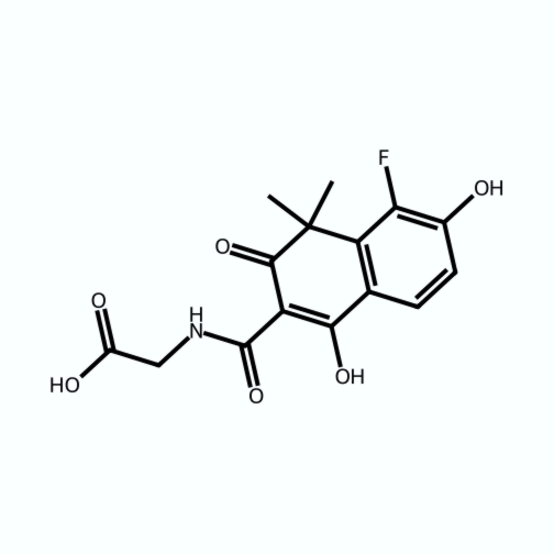 CC1(C)C(=O)C(C(=O)NCC(=O)O)=C(O)c2ccc(O)c(F)c21